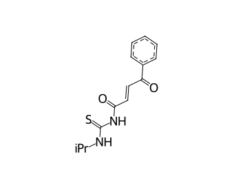 CC(C)NC(=S)NC(=O)C=CC(=O)c1ccccc1